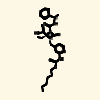 CCCCCCOC(=O)Nc1cc(C[C@H]2C(=O)N(C(=O)N[C@H](C)c3ccccc3)[C@]2(CC)C(=O)O)ccn1